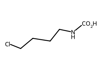 O=C(O)NCCCCCl